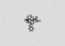 O=C(O)N(Cc1cccc([N+](=O)[O-])c1)N1CCN(Cc2ccccc2)CC1